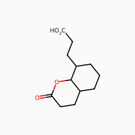 O=C(O)CCC1CCCC2CCC(=O)OC12